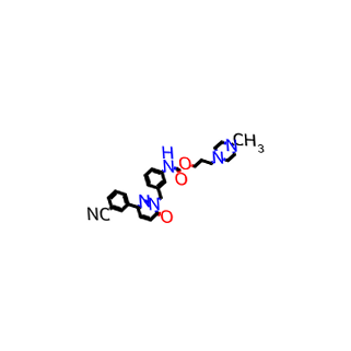 CN1CCN(CCCOC(=O)Nc2cccc(Cn3nc(-c4cccc(C#N)c4)ccc3=O)c2)CC1